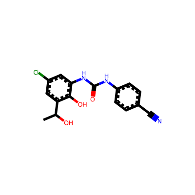 CC(O)c1cc(Cl)cc(NC(=O)Nc2ccc(C#N)cc2)c1O